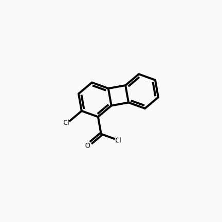 O=C(Cl)c1c(Cl)ccc2c1-c1ccccc1-2